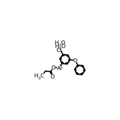 CCC(=O)[O][Al][c]1cc(Cl)cc(Oc2ccccc2)c1.O.O